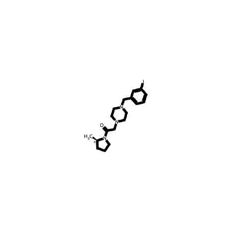 C[C@@H]1CCCN1C(=O)CN1CCN(Cc2cccc(I)c2)CC1